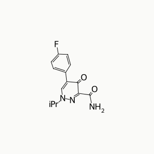 CC(C)n1cc(-c2ccc(F)cc2)c(=O)c(C(N)=O)n1